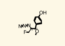 CO[C@H](c1ccc(O)cc1)[C@@H](CF)N=[N+]=[N-]